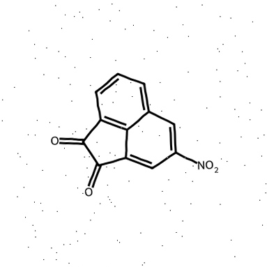 O=C1C(=O)c2cc([N+](=O)[O-])cc3cccc1c23